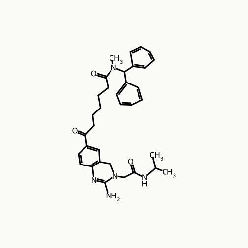 CC(C)NC(=O)CN1Cc2cc(C(=O)CCCCCC(=O)N(C)C(c3ccccc3)c3ccccc3)ccc2N=C1N